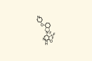 O=c1[nH]ncc(N2Cc3cccc(Oc4ccncc4)c3C2)c1C(F)(F)F